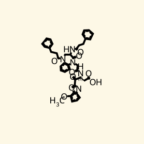 COc1cccc2nc(C(=O)[C@H](CC(=O)O)NC(=O)CN3C(=O)C(NC(=O)CCc4ccccc4)CN(C(=O)CCc4ccccc4)c4ccccc43)oc12